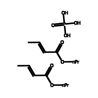 CC=CC(=O)OCCC.CC=CC(=O)OCCC.O=P(O)(O)O